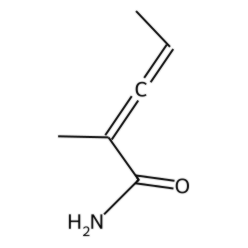 CC=C=C(C)C(N)=O